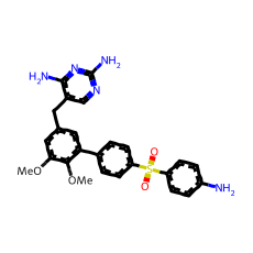 COc1cc(Cc2cnc(N)nc2N)cc(-c2ccc(S(=O)(=O)c3ccc(N)cc3)cc2)c1OC